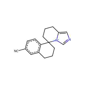 N#Cc1ccc2c(c1)CCCC21CCCC2=CN=C[N+]21